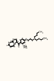 CCCCN(CCCC)CCCOc1ccc(C(=O)c2cnc3ncccn23)cc1.Cl.Cl